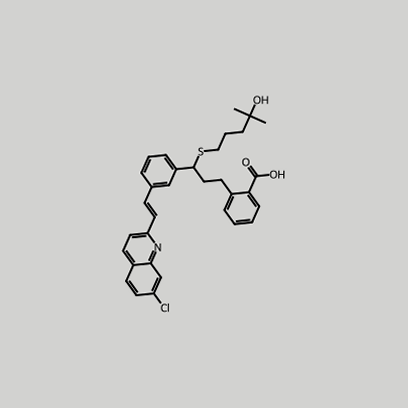 CC(C)(O)CCCSC(CCc1ccccc1C(=O)O)c1cccc(/C=C/c2ccc3ccc(Cl)cc3n2)c1